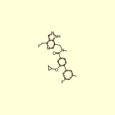 Cc1cc(F)cc(-c2ccc(C(=O)N(C)Cc3cnc(CF)c4cn[nH]c34)cc2OC2CC2)c1